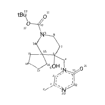 Cc1cn(CC2(O)CCN(C(=O)OC(C)(C)C)CC23CCCC3)c(=O)cn1